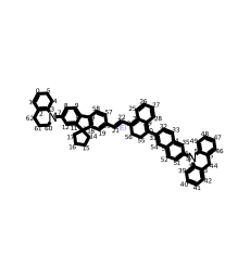 C1=CC2=C(CC1)N(c1ccc3c(c1)C1(CCCC1)c1cc(/C=C/C4=c5ccccc5=C(c5ccc6cc(N7c8ccccc8Cc8ccccc87)ccc6c5)CC4)ccc1-3)CCC2